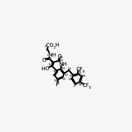 O=C(O)CNC(=O)c1c(O)c2cc(F)cc(Cc3ccc(C(F)(F)F)cc3C(F)(F)F)c2[nH]c1=O